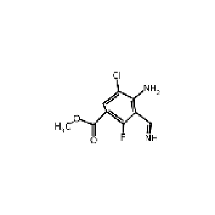 COC(=O)c1cc(Cl)c(N)c(C=N)c1F